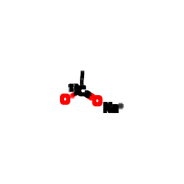 C[13C](=O)[O-].[Na+]